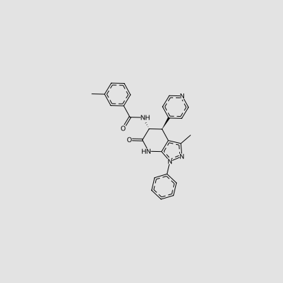 Cc1cccc(C(=O)N[C@H]2C(=O)Nc3c(c(C)nn3-c3ccccc3)[C@@H]2c2ccncc2)c1